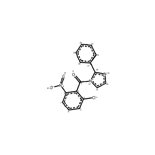 O=C(c1c(Cl)cccc1[N+](=O)[O-])n1ccnc1-c1ccccc1